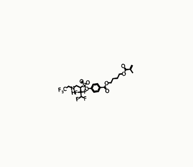 C=C(C)C(=O)OCCCCOC(=O)c1ccc(OS(=O)(=O)C(CNCC(F)(F)F)C(F)(F)C(F)F)cc1